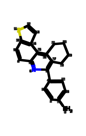 Bc1ccc(-c2nc3ccc4sccc4c3c3c2CCCC3)cc1